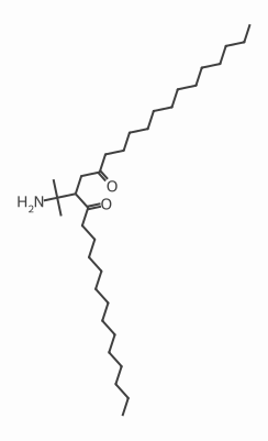 CCCCCCCCCCCCCC(=O)CC(C(=O)CCCCCCCCCCCCC)C(C)(C)N